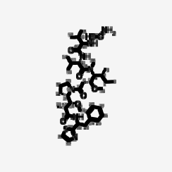 CC[C@H](C)[C@@H]([C@@H](CC(=O)N1CCC[C@H]1[C@H](OC)[C@@H](C)C(=O)NC(Cc1ccccc1)c1nccs1)OC)N(C)C(=O)[C@@H](NC(=O)C(NBON)C(C)C)C(C)C